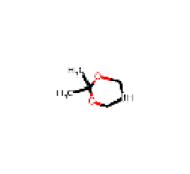 CC1(C)OCBCO1